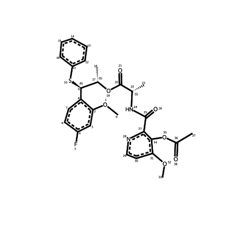 COc1cc(F)ccc1[C@@H](Sc1ccccc1)[C@H](C)OC(=O)[C@H](C)NC(=O)c1nccc(OC)c1OC(C)=O